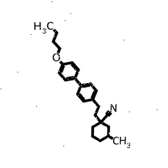 CCCCOc1ccc(-c2ccc(CCC3(C#N)CCCC(C)C3)cc2)cc1